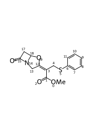 COC(=O)/C(CSc1ccccc1)=C1\CN2C(=O)CC2O1